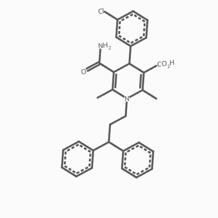 CC1=C(C(N)=O)C(c2cccc(Cl)c2)C(C(=O)O)=C(C)N1CCC(c1ccccc1)c1ccccc1